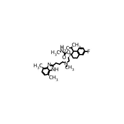 CNC(=O)O[C@]1(CCN(C)CCCc2nc3c(C)ccc(C)c3[nH]2)CCc2cc(F)ccc2C1C(C)C